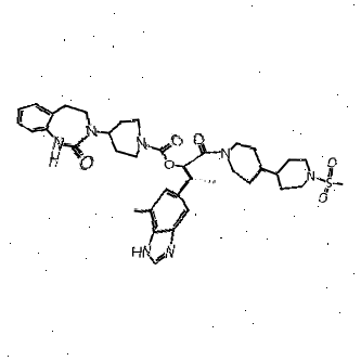 Cc1cc([C@@H](C)C(OC(=O)N2CCC(N3CCc4ccccc4NC3=O)CC2)C(=O)N2CCC(C3CCN(S(C)(=O)=O)CC3)CC2)cc2nc[nH]c12